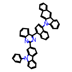 c1ccc(-n2c3ccccc3c3ccc(-c4nc(-c5ccc(-n6c7ccccc7c7cc8ccccc8cc76)c6ccccc56)c5ccccc5n4)cc32)cc1